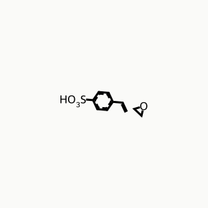 C1CO1.C=Cc1ccc(S(=O)(=O)O)cc1